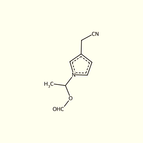 CC(OC=O)n1ccc(CC#N)c1